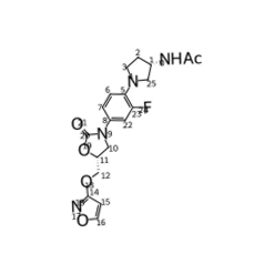 CC(=O)N[C@H]1CCN(c2ccc(N3C[C@H](COc4ccon4)OC3=O)cc2F)C1